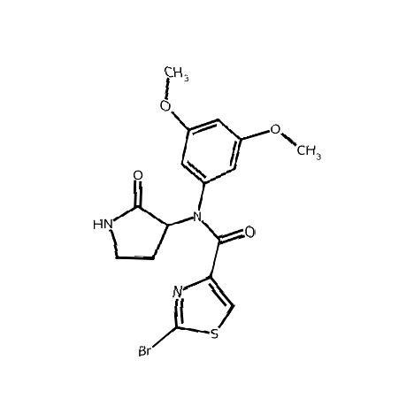 COc1cc(OC)cc(N(C(=O)c2csc(Br)n2)C2CCNC2=O)c1